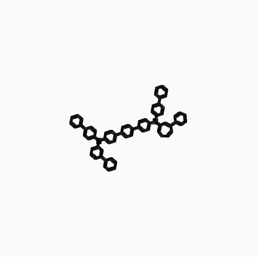 C1=CC(c2ccccc2)=CC(N(c2ccc(-c3ccccc3)cc2)c2ccc(-c3ccc(-c4ccc(N(c5ccc(-c6ccccc6)cc5)c5cccc(-c6ccccc6)c5)cc4)cc3)cc2)=CC1